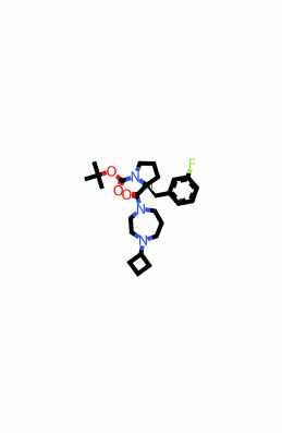 CC(C)(C)OC(=O)N1CCC[C@]1(Cc1cccc(F)c1)C(=O)N1CCCN(C2CCC2)CC1